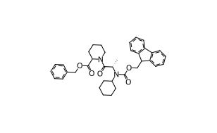 C[C@@H](C(=O)N1CCCCC1C(=O)OCc1ccccc1)N(C(=O)OCC1c2ccccc2-c2ccccc21)C1CCCCC1